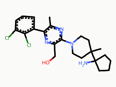 Cc1nc(N2CCC(C)(C3(N)CCCC3)CC2)c(CO)nc1-c1cccc(Cl)c1Cl